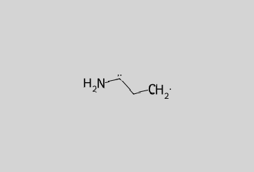 [CH2]C[C]N